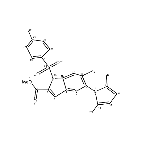 COC(=O)c1cc2nc(-n3c(C)ccc3C)c(C)cc2n1S(=O)(=O)c1ccc(C)cc1